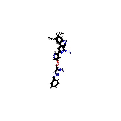 COc1cc2ncc3c(N)nc(-c4cncc(OC[C@@H](N)CNCC5CCCCC5)c4)cc3c2cc1OC